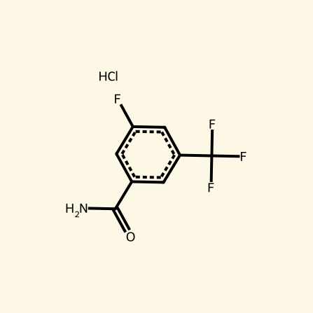 Cl.NC(=O)c1cc(F)cc(C(F)(F)F)c1